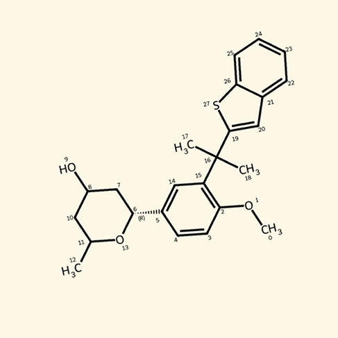 COc1ccc([C@H]2CC(O)CC(C)O2)cc1C(C)(C)c1cc2ccccc2s1